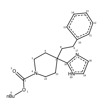 CCCCOC(=O)N1CCC(CCc2ccccc2)(c2ncc[nH]2)CC1